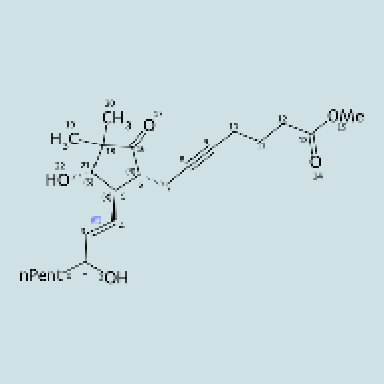 CCCCCC(O)/C=C/[C@@H]1[C@@H](CC#CCCCC(=O)OC)C(=O)C(C)(C)[C@H]1O